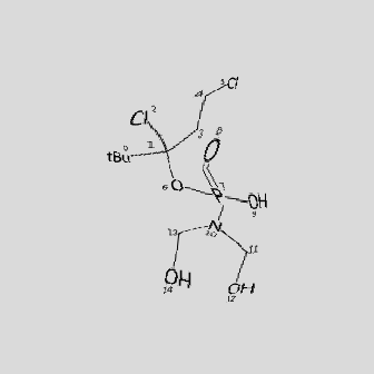 CC(C)(C)C(Cl)(CCCl)OP(=O)(O)N(CO)CO